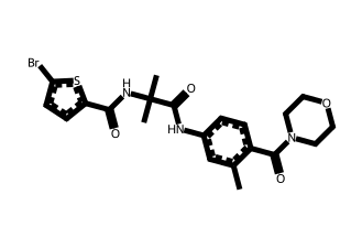 Cc1cc(NC(=O)C(C)(C)NC(=O)c2ccc(Br)s2)ccc1C(=O)N1CCOCC1